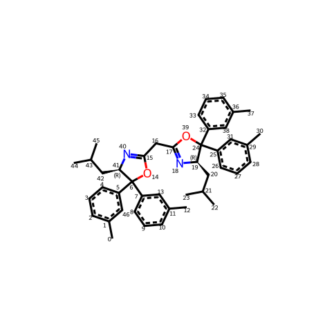 Cc1cccc(C2(c3cccc(C)c3)OC(CC3=N[C@H](CC(C)C)C(c4cccc(C)c4)(c4cccc(C)c4)O3)=N[C@@H]2CC(C)C)c1